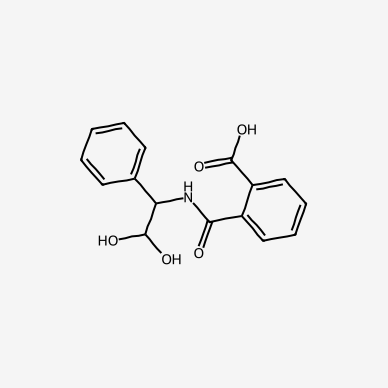 O=C(O)c1ccccc1C(=O)NC(c1ccccc1)C(O)O